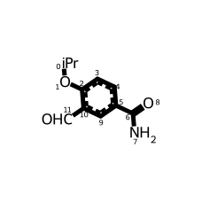 CC(C)Oc1ccc(C(N)=O)cc1C=O